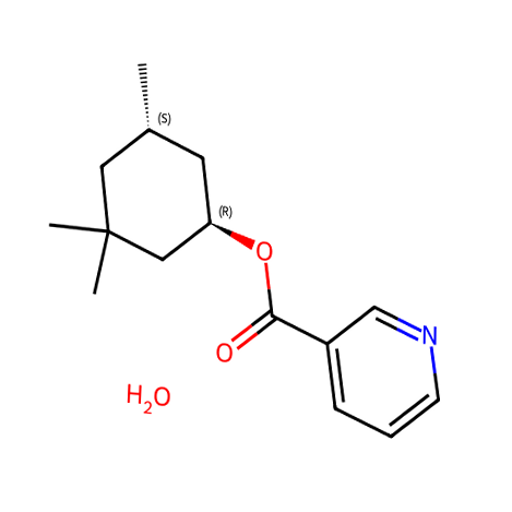 C[C@@H]1C[C@@H](OC(=O)c2cccnc2)CC(C)(C)C1.O